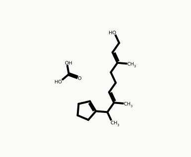 CC(=CCC/C(C)=C/CO)C(C)C1=CCCC1.O=C(O)O